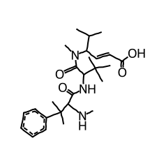 CNC(C(=O)NC(C(=O)N(C)C(/C=C/C(=O)O)C(C)C)C(C)(C)C)C(C)(C)c1ccccc1